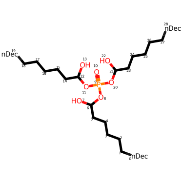 CCCCCCCCCCCCCCCC(O)OP(=O)(OC(O)CCCCCCCCCCCCCCC)OC(O)CCCCCCCCCCCCCCC